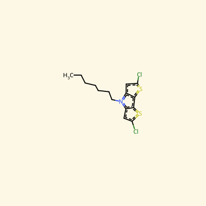 CCCCCCCn1c2cc(Cl)sc2c2sc(Cl)cc21